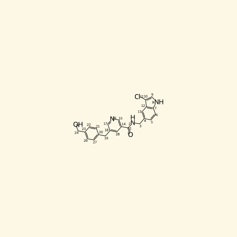 O=C(NCc1ccc2[nH]cc(Cl)c2c1)c1cncc(Cc2ccc(CO)cc2)c1